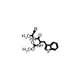 COC(=O)NC(Cc1csc2ccccc12)C(=O)NC(C)C#N